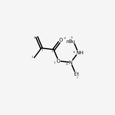 C=C(C)C(=O)ON(CC)NCCCC